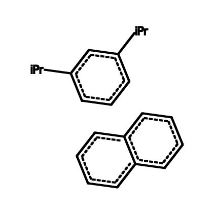 CC(C)c1cccc(C(C)C)c1.c1ccc2ccccc2c1